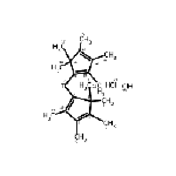 CC1=C(C)C(C)(C)[C]([Ti][C]2=C(C)C(C)=C(C)C2(C)C)=C1C.Cl.Cl